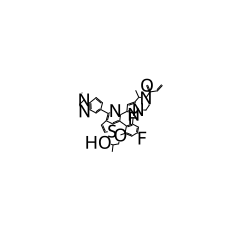 C=CC(=O)N1CCn2nc(-c3nc(-c4ccc5c(c4)ncn5C)c4ccsc4c3-c3c(F)cc(F)cc3OCC(C)O)cc2C1C